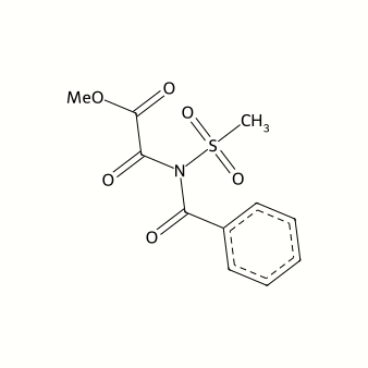 COC(=O)C(=O)N(C(=O)c1ccccc1)S(C)(=O)=O